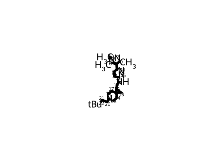 Cc1nn(C)c(C)c1-c1ccc(NCC2CC23CCN(CCC(C)(C)C)CC3)nn1